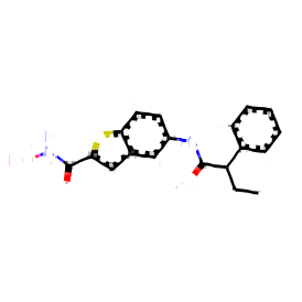 CCC(C(=O)Nc1ccc2sc(C(=O)NO)cc2c1)c1ccccc1